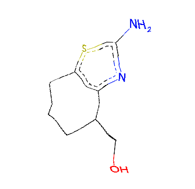 Nc1nc2c(s1)CCCC2CO